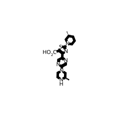 C[C@@H]1CCCN(c2nc(-c3cnc(N4CCN[C@H](C)C4)cn3)c(C(=O)O)s2)C1